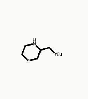 CC(C)(C)CC1CSCCN1